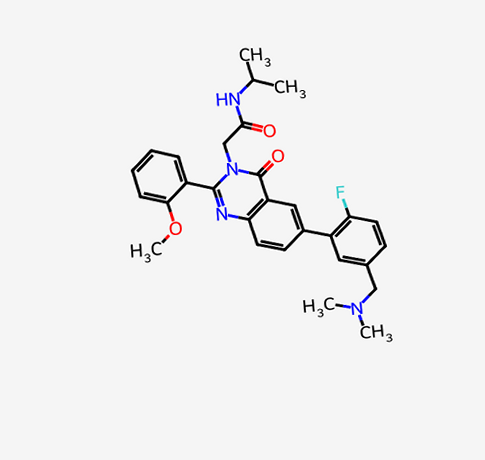 COc1ccccc1-c1nc2ccc(-c3cc(CN(C)C)ccc3F)cc2c(=O)n1CC(=O)NC(C)C